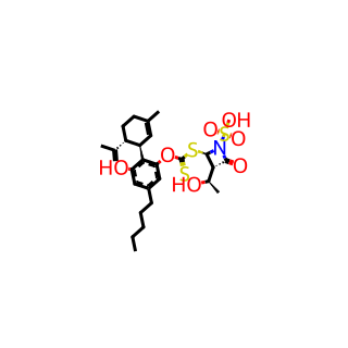 C=C(C)[C@@H]1CCC(C)=C[C@H]1c1c(O)cc(CCCCC)cc1OC(=S)S[C@@H]1[C@@H]([C@@H](C)O)C(=O)N1S(=O)(=O)O